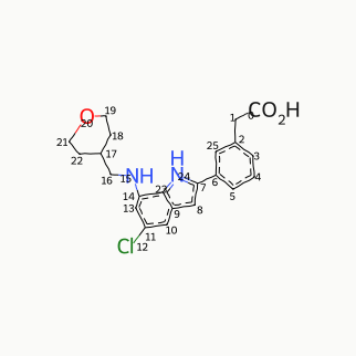 O=C(O)Cc1cccc(-c2cc3cc(Cl)cc(NCC4CCOCC4)c3[nH]2)c1